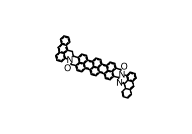 O=C1c2ccc3c4ccc5c6ccc7c8c(ccc(c9ccc(c%10ccc(c2c%103)C2Cc3c%10ccccc%10cc%10cccc(c3%10)N12)c4c95)c86)C(=O)N1c2cccc3c2C(=NC71)C1C=CC=CC1=C3